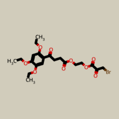 CCOc1cc(OCC)c(C(=O)CCC(=O)OCCOC(=O)C(=O)CBr)cc1OCC